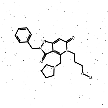 CCOCCCn1c(CN2CCCC2)c2c(=O)n(Cc3ccccc3)[nH]c2cc1=O